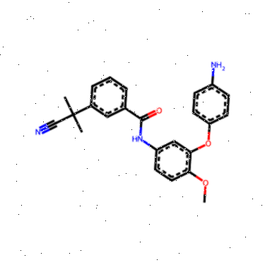 COc1ccc(NC(=O)c2cccc(C(C)(C)C#N)c2)cc1Oc1ccc(N)cc1